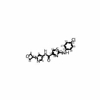 O=C(Nc1cnn(C2COC2)c1)c1csc(Nc2ccc(Cl)cc2)n1